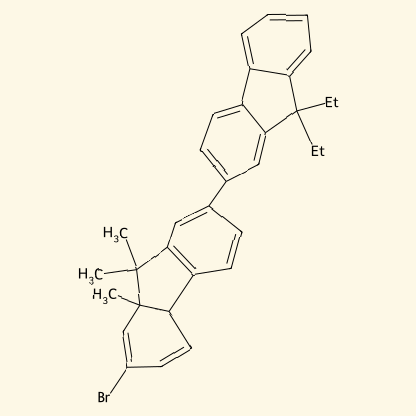 CCC1(CC)c2ccccc2-c2ccc(-c3ccc4c(c3)C(C)(C)C3(C)C=C(Br)C=CC43)cc21